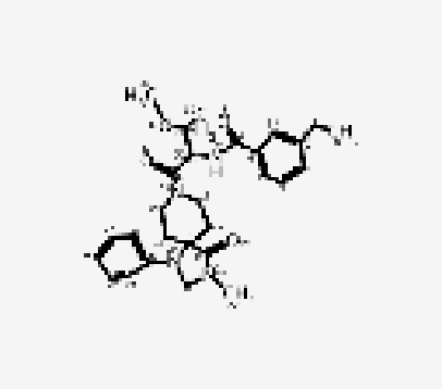 CCc1cccc(C(=O)N[C@@H](C(=O)N2CCC3(CC2)C(=O)N(C)CN3c2ccccc2)[C@H](C)OC)c1